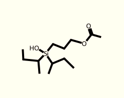 CCC(C)[Si](O)(CCCOC(C)=O)C(C)CC